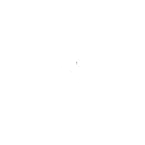 CC(=O)N1C[C@@H](F)C[C@@H]1C#N